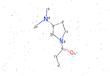 CCC(=O)N1CCC(N(C)C)C1